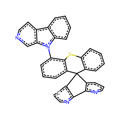 c1ccc2c(c1)Sc1c(-n3c4ccccc4c4ccncc43)cccc1C21c2cccnc2-c2ncccc21